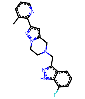 Cc1cccnc1-c1cc2n(n1)CCN(Cc1n[nH]c3c(F)cccc13)C2